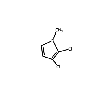 Cn1ccc(Cl)c1Cl